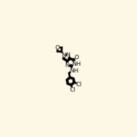 O=c1[nH]c(NCc2ccc(Cl)c(Cl)c2)nc2cn(C3COC3)nc12